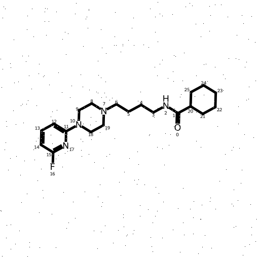 O=C(NCCCCN1CCN(c2cccc(F)n2)CC1)C1CCCCC1